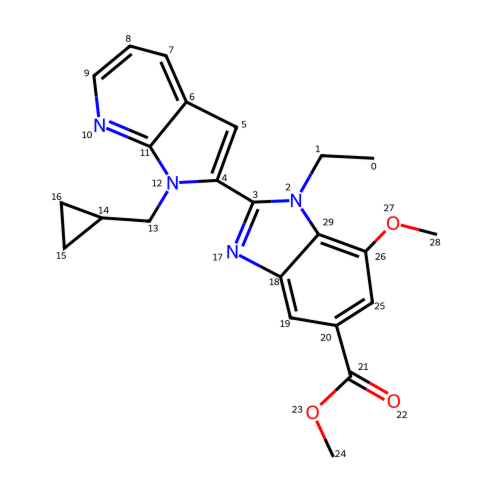 CCn1c(-c2cc3cccnc3n2CC2CC2)nc2cc(C(=O)OC)cc(OC)c21